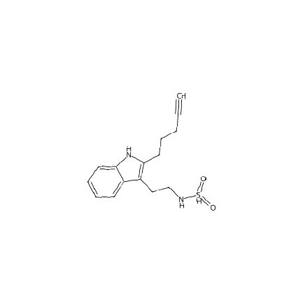 C#CCCCc1[nH]c2ccccc2c1CCN[SH](=O)=O